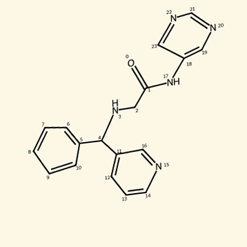 O=C(CNC(c1ccccc1)c1cccnc1)Nc1cncnc1